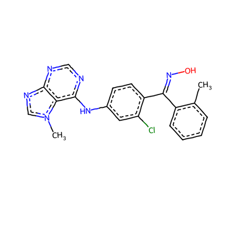 Cc1ccccc1C(=NO)c1ccc(Nc2ncnc3ncn(C)c23)cc1Cl